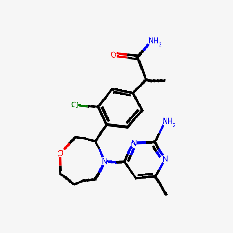 Cc1cc(N2CCCOCC2c2ccc(C(C)C(N)=O)cc2Cl)nc(N)n1